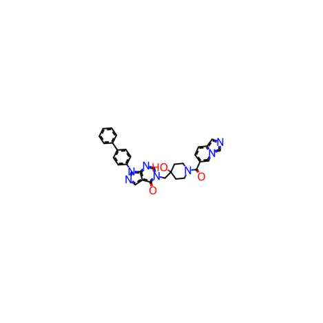 O=C(c1ccc2cncn2c1)N1CCC(O)(Cn2cnc3c(cnn3-c3ccc(-c4ccccc4)cc3)c2=O)CC1